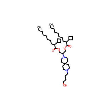 CCCCCCCCC(C(=O)OCC(COC(=O)C(CCCCCCCC)C1CCC1)N1CCC2(CCN(CCCCO)CC2)CC1)C1CCC1